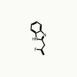 C=C(F)Cc1nc2ccccc2[nH]1